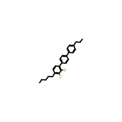 CCCCCc1ccc(-c2ccc(-c3ccc(CCC)cc3)cc2)c(F)c1F